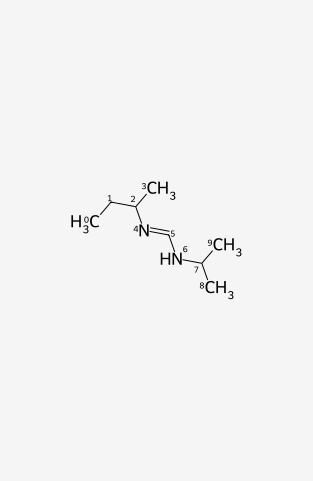 CCC(C)N=CNC(C)C